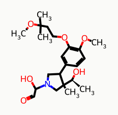 COc1ccc(C2CN(C(O)C=O)CC2(C)[C@H](C)O)cc1OCCC(C)(C)OC